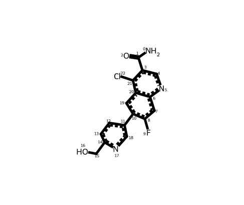 NC(=O)c1cnc2cc(F)c(-c3ccc(CO)nc3)cc2c1Cl